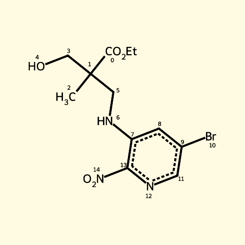 CCOC(=O)C(C)(CO)CNc1cc(Br)cnc1[N+](=O)[O-]